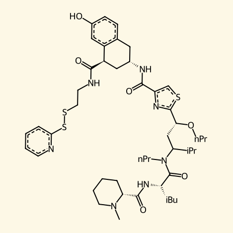 CCCO[C@H](CC(C(C)C)N(CCC)C(=O)[C@@H](NC(=O)[C@H]1CCCCN1C)[C@@H](C)CC)c1nc(C(=O)N[C@H]2Cc3ccc(O)cc3[C@H](C(=O)NCCSSc3ccccn3)C2)cs1